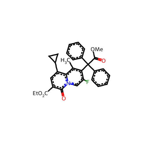 CCOC(=O)c1cc(C2CC2)c2c(C)c(C(C(=O)OC)(c3ccccc3)c3ccccc3)c(F)cn2c1=O